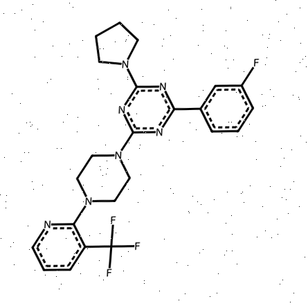 Fc1cccc(-c2nc(N3CCCC3)nc(N3CCN(c4ncccc4C(F)(F)F)CC3)n2)c1